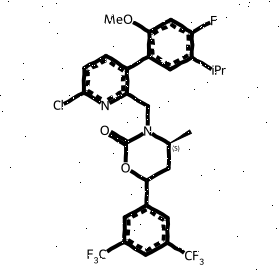 COc1cc(F)c(C(C)C)cc1-c1ccc(Cl)nc1CN1C(=O)OC(c2cc(C(F)(F)F)cc(C(F)(F)F)c2)C[C@@H]1C